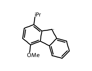 COc1ccc(C(C)C)c2c1-c1ccccc1[CH]2